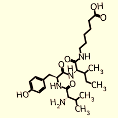 CCC(C)[C@H](NC(=O)[C@H](Cc1ccc(O)cc1)NC(=O)[C@@H](N)C(C)C)C(=O)NCCCCCC(=O)O